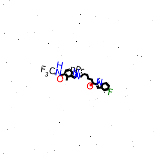 CCCC(CCCC(=O)c1cc2cc(F)ccc2n1C)Cn1cc2c(C)c(C(=O)NCC(F)(F)F)ccc2n1